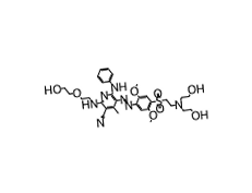 COc1cc(S(=O)(=O)CCN(CCO)CCO)c(OC)cc1/N=N/c1c(Nc2ccccc2)nc(NCCOCCO)c(C#N)c1C